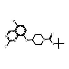 CC(C)(C)OC(=O)N1CCC(Oc2ccc(Br)c3cnc(Cl)nc23)CC1